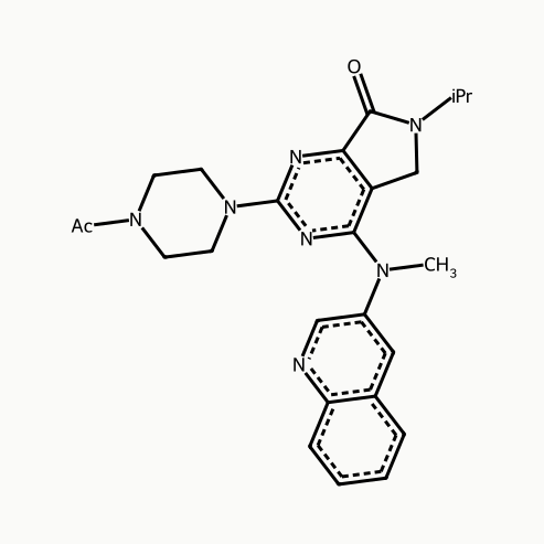 CC(=O)N1CCN(c2nc3c(c(N(C)c4cnc5ccccc5c4)n2)CN(C(C)C)C3=O)CC1